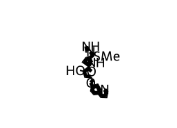 CS/C(=N/C=N)c1ccc([C@@H]2O[C@H](COc3ccc4cccnc4c3)C[C@H]2O)[nH]1